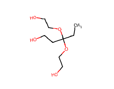 CCC(CCO)(OCCO)OCCO